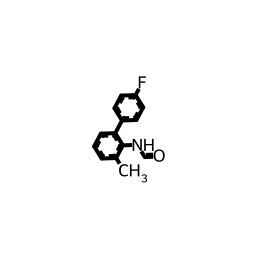 Cc1cccc(-c2ccc(F)cc2)c1NC=O